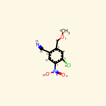 COCc1cc(Cl)c([N+](=O)[O-])cc1C#N